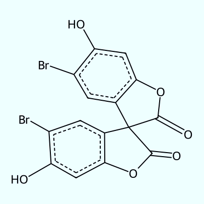 O=C1Oc2cc(O)c(Br)cc2C12C(=O)Oc1cc(O)c(Br)cc12